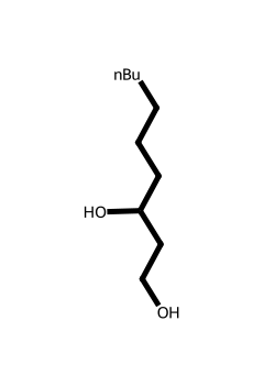 CCCCCCC[C](O)CCO